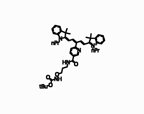 CCCN1/C(=C/C=C(/C=C/C2=[N+](CCC)c3ccccc3C2(C)C)c2ccc(C(=O)NCCCONC(=O)OC(C)(C)C)cn2)C(C)(C)c2ccccc21